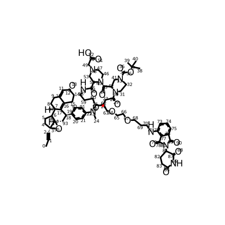 CC#C[C@]12CC[C@H]3[C@@H]4CCC5=CC(=O)CCC5=C4[C@@H](c4ccc(N(C)CCCC(=O)N5CCN(C(=O)OC(C)(C)C)CC5C(=O)N5CCN(CC(=O)O)CC5C(=O)NCCCOCCOCCOCCCNc5cccc6c5C(=O)N(C5CCC(=O)NC5=O)C6=O)cc4)C[C@@]31O2